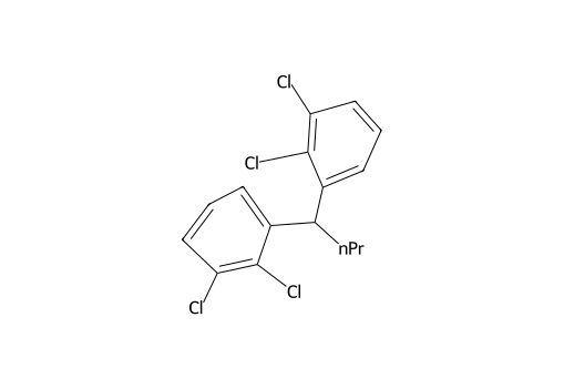 CCCC(c1cccc(Cl)c1Cl)c1cccc(Cl)c1Cl